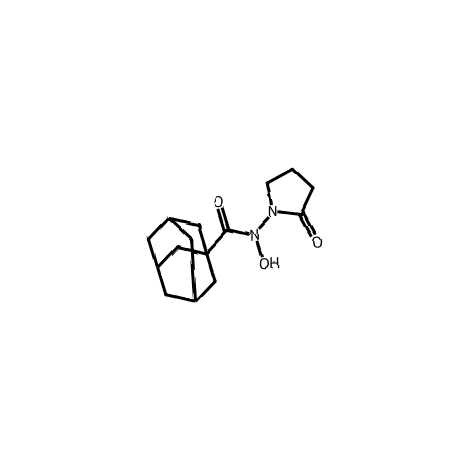 O=C1CCCN1N(O)C(=O)C12CC3CC(CC(C3)C1)C2